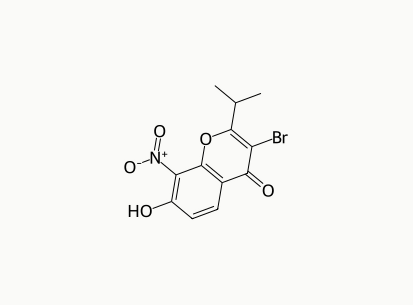 CC(C)c1oc2c([N+](=O)[O-])c(O)ccc2c(=O)c1Br